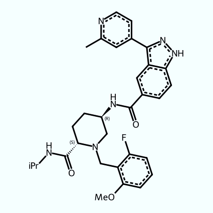 COc1cccc(F)c1CN1C[C@H](NC(=O)c2ccc3[nH]nc(-c4ccnc(C)c4)c3c2)CC[C@H]1C(=O)NC(C)C